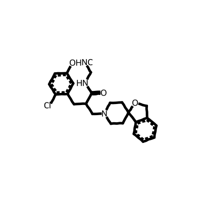 N#CCNC(=O)C(Cc1cc(O)ccc1Cl)CN1CCC2(CC1)OCc1ccccc12